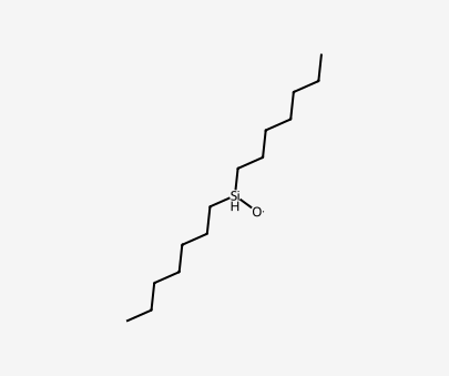 CCCCCCC[SiH]([O])CCCCCCC